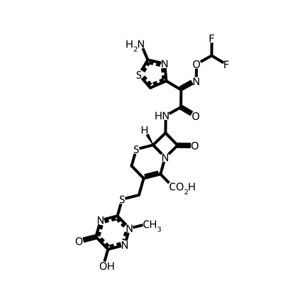 Cn1nc(O)c(=O)nc1SCC1=C(C(=O)O)N2C(=O)C(NC(=O)/C(=N/OC(F)F)c3csc(N)n3)[C@H]2SC1